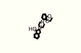 O[C@H]1c2ccccc2C[C@H]1N1CCN(c2cccc3c2OCCO3)CC1